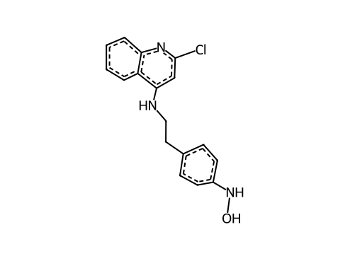 ONc1ccc(CCNc2cc(Cl)nc3ccccc23)cc1